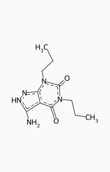 CCCn1c(=O)c2c(N)[nH]nc2n(CCC)c1=O